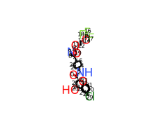 O=C(NC1CCC(c2cnc(OCCOC(F)(F)F)o2)CC1)[C@H]1C[C@@H](O)c2cc(Cl)ccc2O1